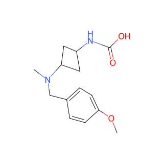 COc1ccc(CN(C)C2CC(NC(=O)O)C2)cc1